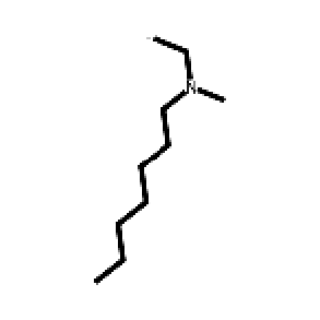 [CH2]CN(C)CCCCCCC